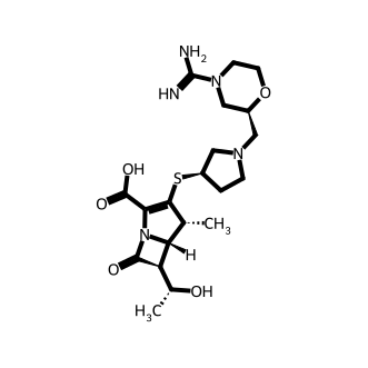 C[C@@H](O)[C@H]1C(=O)N2C(C(=O)O)=C(S[C@@H]3CCN(C[C@H]4CN(C(=N)N)CCO4)C3)[C@H](C)[C@H]12